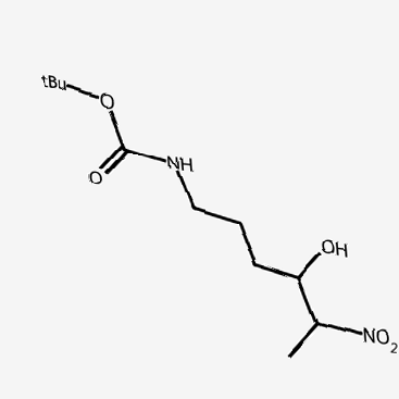 CC(C(O)CCCNC(=O)OC(C)(C)C)[N+](=O)[O-]